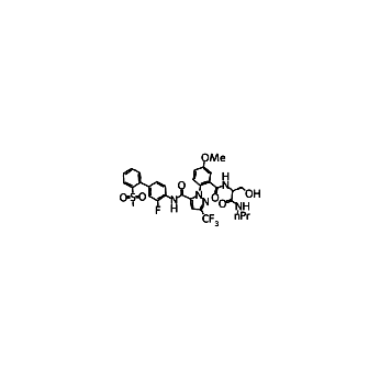 CCCNC(=O)[C@H](CO)NC(=O)c1cc(OC)ccc1-n1nc(C(F)(F)F)cc1C(=O)Nc1ccc(-c2ccccc2S(C)(=O)=O)cc1F